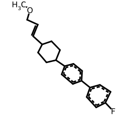 COCC=CC1CCC(c2ccc(-c3ccc(F)cc3)cc2)CC1